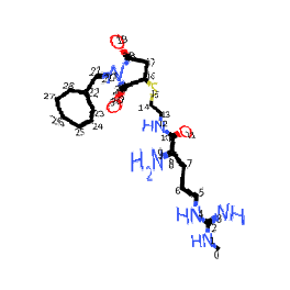 CNC(=N)NCCCC(N)C(=O)NCCSC1CC(=O)N(CC2CCCCCC2)C1=O